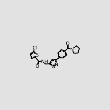 O=C(NCc1cc(-c2ccc(C(=O)N3CCCC3)cc2)no1)c1ccc(Cl)s1